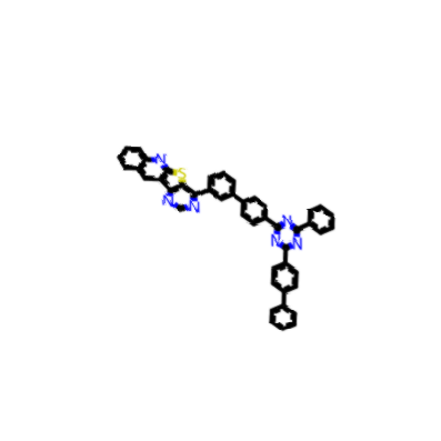 c1ccc(-c2ccc(-c3nc(-c4ccccc4)nc(-c4ccc(-c5cccc(-c6ncnc7c6sc6nc8ccccc8cc67)c5)cc4)n3)cc2)cc1